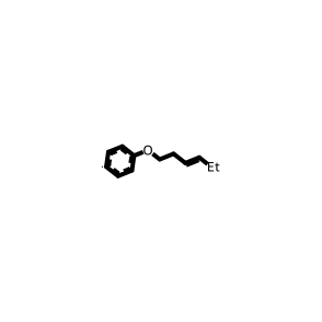 CCC=CCCOc1cc[c]cc1